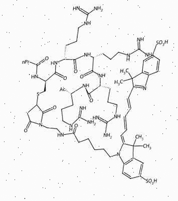 CCCC(=O)N[C@H](CSC1CC(=O)N(CCNC(=O)CCCCCN2/C(=C/C=C/C=C/C3=Nc4ccc(S(=O)(=O)O)cc4C3(C)C)C(C)(C)c3cc(S(=O)(=O)O)ccc32)C1=O)C(=O)N[C@H](CCCNC(=N)N)C(=O)N[C@H](CCCNC(=N)N)C(=O)N[C@H](CCCNC(=N)N)C(=O)N[C@H](CCCNC(=N)N)C(C)=O